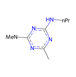 CCCNc1nc(C)nc(NC)n1